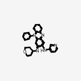 c1ccc(-n2c3c/c(=N\C4CCOCC4)c(Nc4cccnc4)cc-3nc3ccccc32)cc1